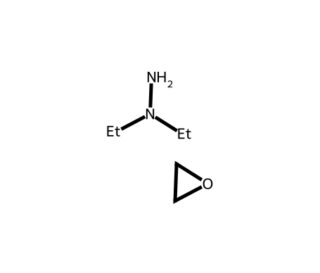 C1CO1.CCN(N)CC